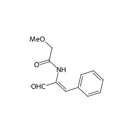 COCC(=O)NC([C]=O)=Cc1ccccc1